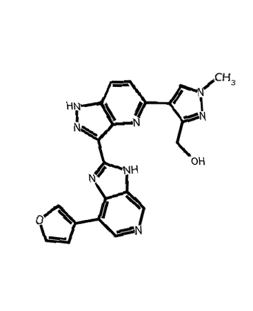 Cn1cc(-c2ccc3[nH]nc(-c4nc5c(-c6ccoc6)cncc5[nH]4)c3n2)c(CO)n1